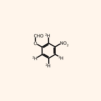 [2H]c1c([2H])c(OC=O)c([2H])c([N+](=O)[O-])c1[2H]